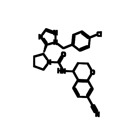 N#Cc1ccc2c(c1)OCCC2NC(=O)N1CCC[C@@H]1c1ncnn1Cc1ccc(Cl)cc1